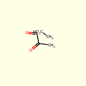 CC(=O)C=O.CC(=O)O